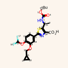 C[C@H](NC(=O)OC(C)(C)C)c1sc(-c2ccc(OC(F)F)c(OCC3CC3)c2)nc1C(=O)O